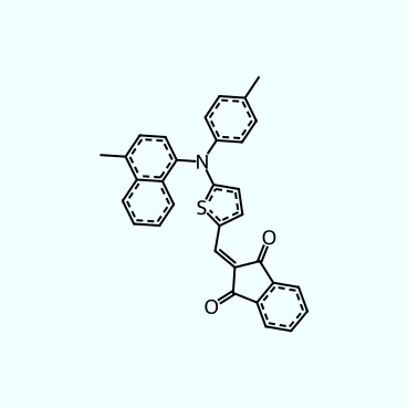 Cc1ccc(N(c2ccc(C=C3C(=O)c4ccccc4C3=O)s2)c2ccc(C)c3ccccc23)cc1